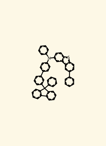 c1ccc(-c2ccc3sc4ccc(N(c5ccccc5)c5ccc(-c6cccc(C7(c8ccccc8)c8ccccc8-c8ccccc87)c6)cc5)cc4c3c2)cc1